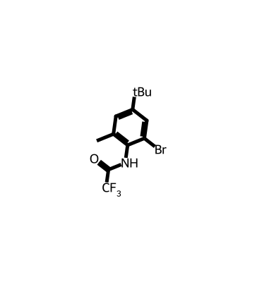 Cc1cc(C(C)(C)C)cc(Br)c1NC(=O)C(F)(F)F